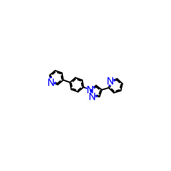 c1ccc(-c2cnn(-c3ccc(-c4cccnc4)cc3)c2)nc1